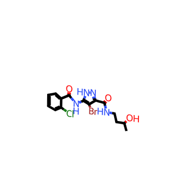 CC(O)CCNC(=O)c1n[nH]c(NC(=O)c2ccccc2Cl)c1Br